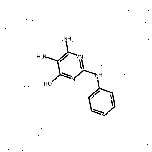 Nc1nc(Nc2ccccc2)nc(O)c1N